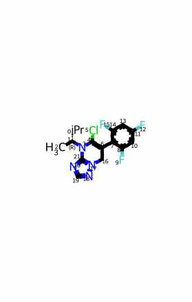 CC(C)[C@@H](C)N1C(Cl)=C(c2c(F)cc(F)cc2F)Cn2ncnc21